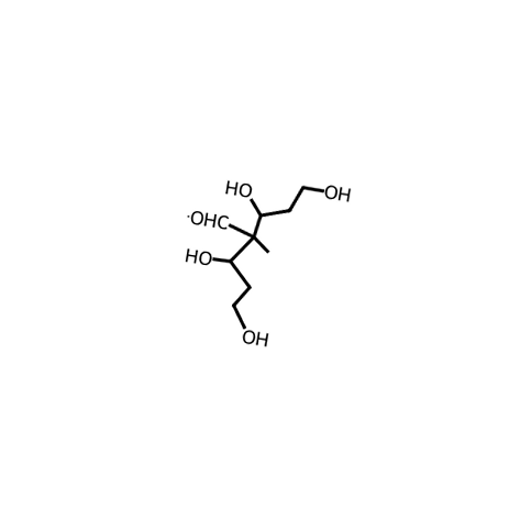 CC([C]=O)(C(O)CCO)C(O)CCO